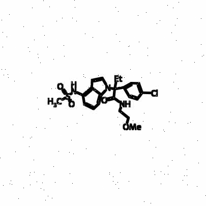 CCC(C(=O)NCCOC)(c1ccc(Cl)cc1)n1ccc2c(NS(C)(=O)=O)cccc21